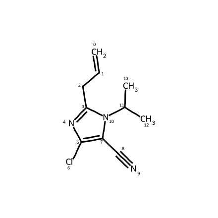 C=CCc1nc(Cl)c(C#N)n1C(C)C